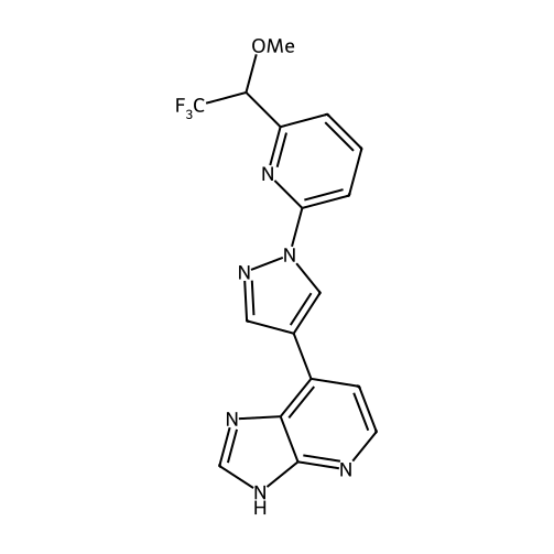 COC(c1cccc(-n2cc(-c3ccnc4[nH]cnc34)cn2)n1)C(F)(F)F